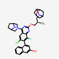 C[C@@H](COc1nc(N2CC3CCC(C2)N3)c2cc(Cl)c(-c3cc(O)cc4ccccc34)c(F)c2n1)CN1C2CC3CC1C(C2)O3